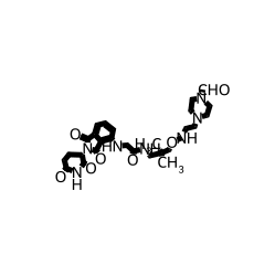 CC(C)(CNC(=O)CNc1cccc2c1C(=O)N(C1CCC(=O)NC1=O)C2=O)CONCCN1CCN(C=O)CC1